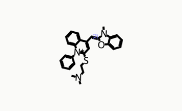 CN(C)CCSc1cc(/C=C2\Oc3ccccc3N2C)c2ccccc2[n+]1-c1ccccc1